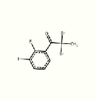 CC(Br)(Br)C(=O)c1cccc(F)c1F